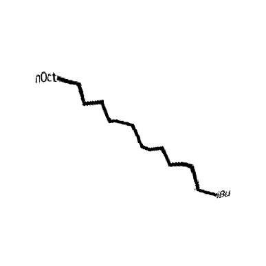 CCCCCCCCCCCCCCCCC[CH]C(C)CC